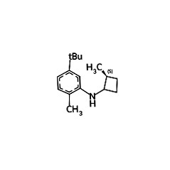 Cc1ccc(C(C)(C)C)cc1NC1CC[C@@H]1C